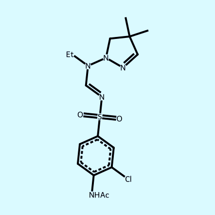 CCN(C=NS(=O)(=O)c1ccc(NC(C)=O)c(Cl)c1)N1CC(C)(C)C=N1